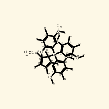 COc1cc([Si](c2cc(OC)c(C)c(C)c2OC)(c2cc(OC)c(C)c(C)c2OC)[C]2([Ti+3])C(C)=C(C)C(C)=C2C)c(OC)c(C)c1C.[Cl-].[Cl-].[Cl-]